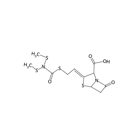 CSN(SC)C(=O)SC/C=C1\SC2CC(=O)N2C1C(=O)O